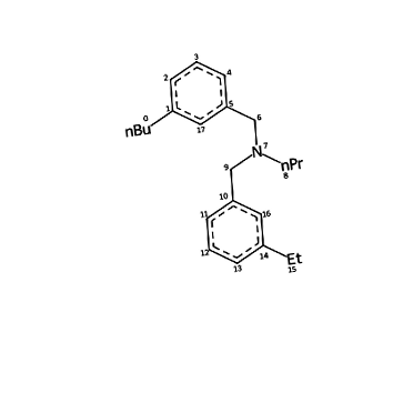 CCCCc1cccc(CN(CCC)Cc2cccc(CC)c2)c1